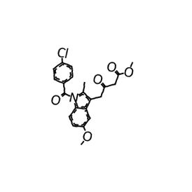 COC(=O)CC(=O)Cc1c(C)n(C(=O)c2ccc(Cl)cc2)c2ccc(OC)cc12